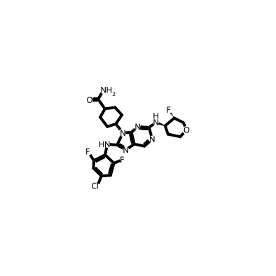 NC(=O)C1CCC(n2c(Nc3c(F)cc(Cl)cc3F)nc3cnc(N[C@@H]4CCOC[C@H]4F)nc32)CC1